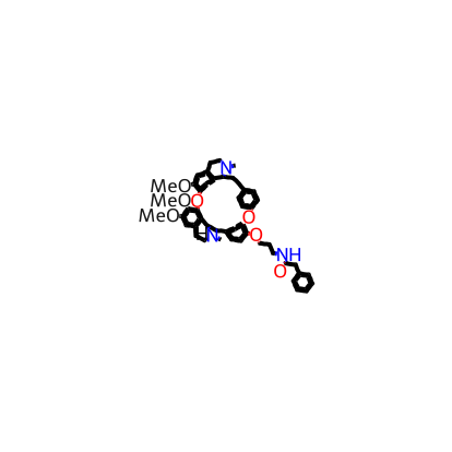 COc1cc2c3cc1Oc1c(OC)c(OC)cc4c1[C@@H](Cc1ccc(OCCCNC(=O)Cc5ccccc5)c(c1)Oc1ccc(cc1)CC3N(C)CC2)N(C)CC4